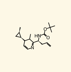 C=CC[C@H](NC(=O)OC(C)(C)C)C1=NC=CC([C@H]2C[C@H]2C)C1C